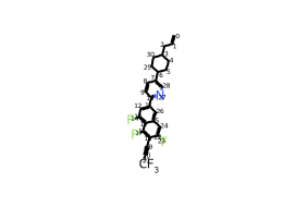 C=CCC1CCC(c2ccc(-c3cc(F)c4c(F)c(C#CC(F)(F)F)c(F)cc4c3)nc2)CC1